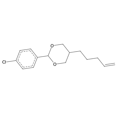 C=CCCCC1COC(c2ccc(Cl)cc2)OC1